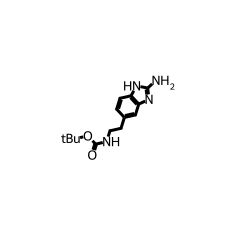 CC(C)(C)OC(=O)NCCc1ccc2[nH]c(N)nc2c1